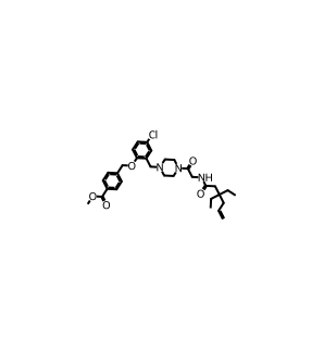 C=CCC(CC)(CC)CC(=O)NCC(=O)N1CCN(Cc2cc(Cl)ccc2OCc2ccc(C(=O)OC)cc2)CC1